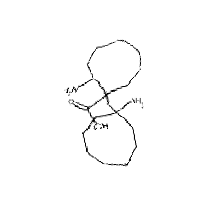 NC1CCCCCCC1(C(=O)O)C1(N)CCCCCCC1